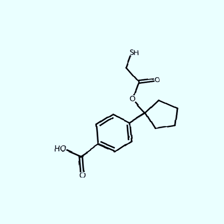 O=C(CS)OC1(c2ccc(C(=O)O)cc2)CCCC1